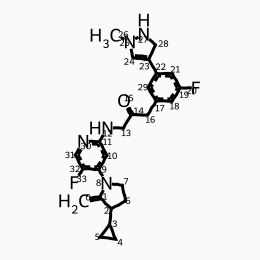 C=C1C(C2CC2)CCN1c1cc(NCC(=O)Cc2cc(F)cc(C3=CN(C)NC3)c2)ncc1F